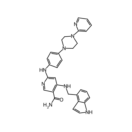 NC(=O)c1cnc(Nc2ccc(N3CCN(c4ccccn4)CC3)cc2)cc1NCc1cccc2[nH]ccc12